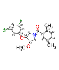 COC1CN(C(=O)c2cc(C)ccc2C)CC1Oc1cc(F)cc(Br)c1